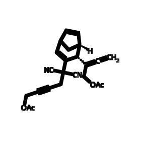 C=C=C(COC(C)=O)[C@@H]1C(C(C#N)(C#N)CC#CCOC(C)=O)=CC2C=C[C@@H]1C2